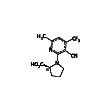 Cc1cc(C(F)(F)F)c(C#N)c(N2CCC[C@H]2C(=O)O)n1